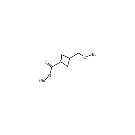 CCOCC1CN(C(=O)OC(C)(C)C)C1